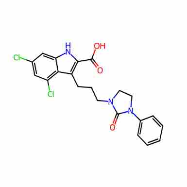 O=C(O)c1[nH]c2cc(Cl)cc(Cl)c2c1CCCN1CCN(c2ccccc2)C1=O